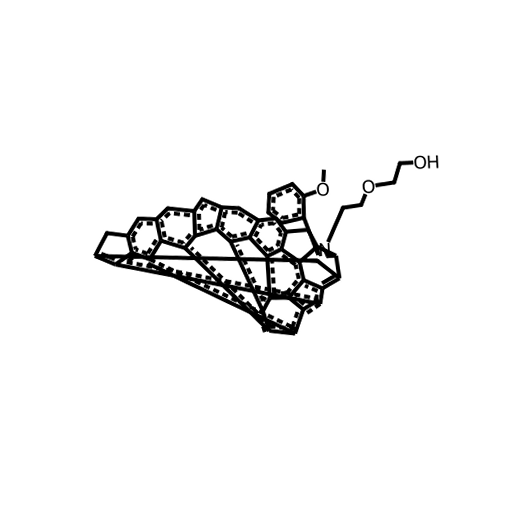 COc1ccccc1C1N(CCOCCO)CC2C3=c4c5c6c7c(cc8cc9cc%10cc%11cc%12c%13c(c4c4c5c5c7c8c7c9c%10c8c%11c%13c4c8c75)=C(C3)C%12)CC621